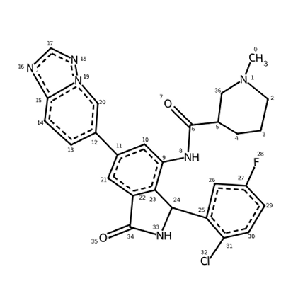 CN1CCCC(C(=O)Nc2cc(-c3ccc4ncnn4c3)cc3c2C(c2cc(F)ccc2Cl)NC3=O)C1